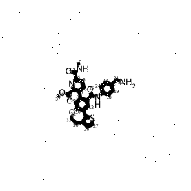 CNC(=O)c1ccc(-c2cc3c(cc2C(=O)Nc2ccc(CN)cc2)-c2sccc2CCO3)c(C(=O)OC)n1